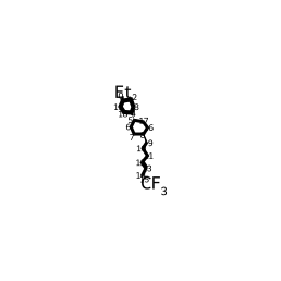 CCc1ccc([C@H]2CC[C@H](CCCC=CCC(F)(F)F)CC2)cc1